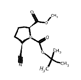 COC(=O)[C@@H]1CC[C@H](C#N)N1C(=O)OC(C)(C)C